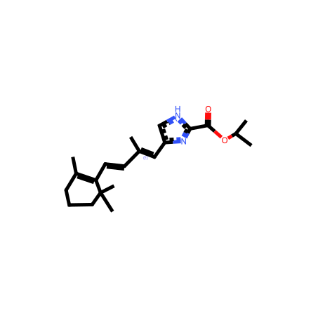 CC1=C(C=C/C(C)=C/c2c[nH]c(C(=O)OC(C)C)n2)C(C)(C)CCC1